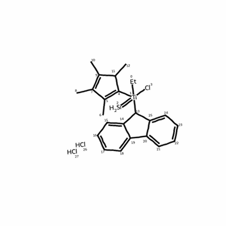 C[CH2][Ti](=[SiH2])([Cl])([C]1=C(C)C(C)=C(C)C1C)[CH]1c2ccccc2-c2ccccc21.Cl.Cl